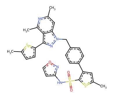 Cc1cc2c(c(C)n1)c(-c1ccc(C)s1)nn2Cc1ccc(-c2cc(C)sc2S(=O)(=O)Nc2ccon2)cc1